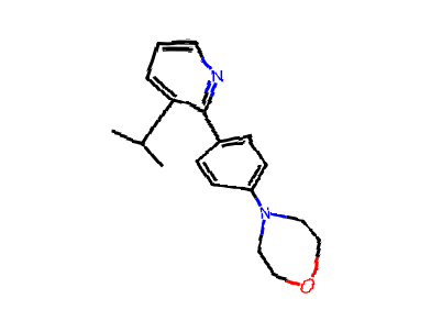 CC(C)c1cccnc1-c1ccc(N2CCOCC2)cc1